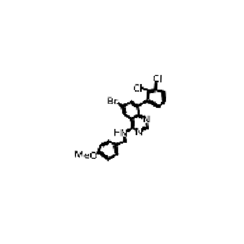 COc1ccc(CNc2ncnc3c(-c4cccc(Cl)c4Cl)cc(Br)cc23)cc1